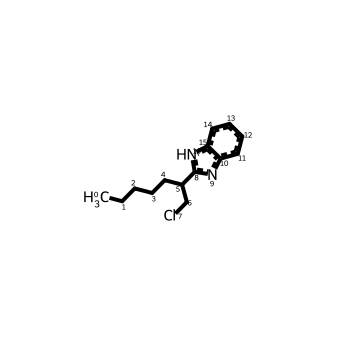 CCCCCC(CCl)c1nc2ccccc2[nH]1